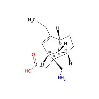 CCC1=C[C@@H]2[C@@H]3[C@H]1CC[C@@H]3[C@]2(CN)CC(=O)O